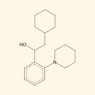 OC(CC1CCCCC1)c1ccccc1N1CCCCC1